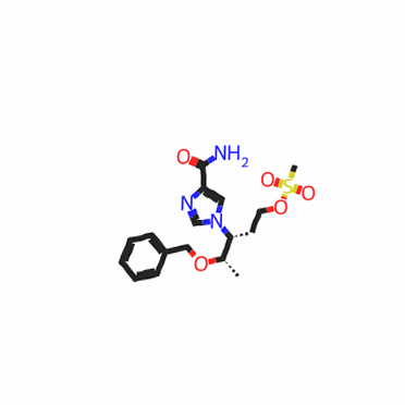 C[C@H](OCc1ccccc1)[C@@H](CCOS(C)(=O)=O)n1cnc(C(N)=O)c1